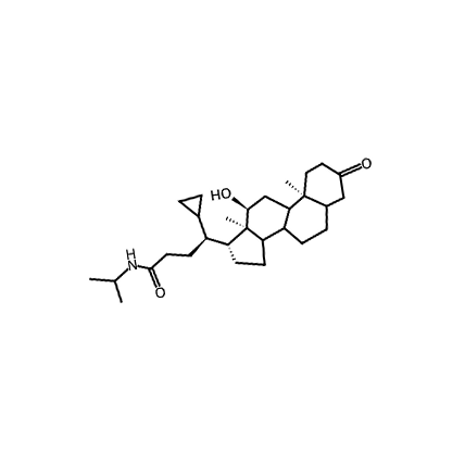 CC(C)NC(=O)CC[C@@H](C1CC1)[C@H]1CCC2C3CCC4CC(=O)CC[C@]4(C)C3C[C@H](O)[C@@]21C